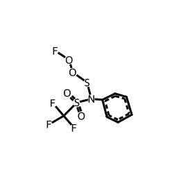 O=S(=O)(N(SOOF)c1ccccc1)C(F)(F)F